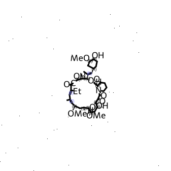 CC/C1=C\C(C)=C/[C@H](C)C[C@H](OC)[C@H]2O[C@@](O)(C(=O)C(=O)N3CCCC[C@H]3C(=O)O[C@H](/C(C)=C/[C@@H]3CC[C@@H](O)[C@H](OC)C3)[C@H](C)[C@@H](O)CC1=O)[C@H](C)C[C@@H]2OC